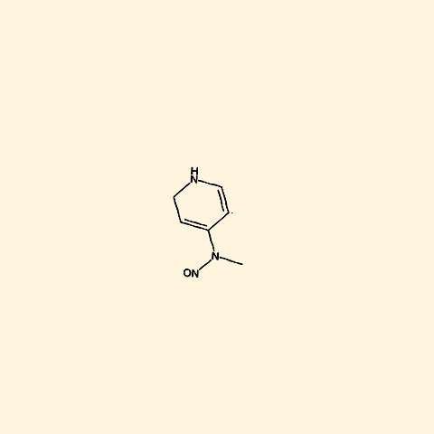 CN(N=O)C1=CCNC=[C]1